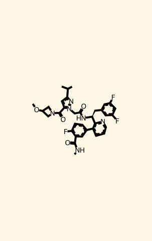 CNC(=O)c1cc(-c2cccnc2[C@H](Cc2cc(F)cc(F)c2)NC(=O)Cn2nc(C(C)C)cc2C(=O)N2CC(OC)C2)ccc1F